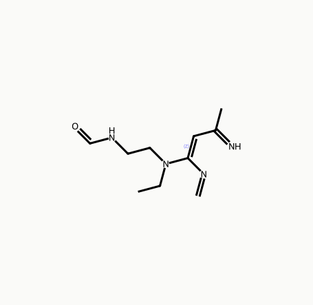 C=N/C(=C\C(C)=N)N(CC)CCNC=O